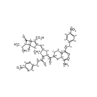 C[C@@H](O)[C@H]1C(=O)N2C(C(=O)O)=C(S[C@H]3C[C@@H](C(=O)N4CCN(C(=O)OCc5ccc([N+](=O)[O-])cc5)C(C(N)=O)C4)N(C(=O)OCc4ccc([N+](=O)[O-])cc4)C3)[C@H](C)[C@H]12